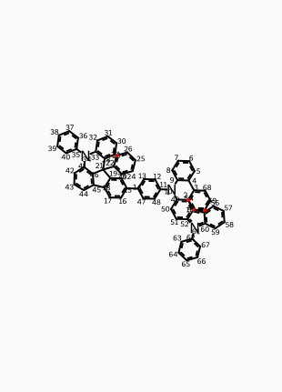 c1ccc(-c2ccccc2N(c2ccc(-c3ccc4c(c3)C3(c5ccccc5)c5ccccc5N(c5ccccc5)c5cccc-4c53)cc2)c2ccc3c(c2)c2ccccc2n3-c2ccccc2)cc1